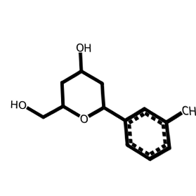 Cc1cccc(C2CC(O)CC(CO)O2)c1